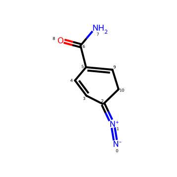 [N-]=[N+]=C1C=CC(C(N)=O)=CC1